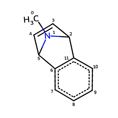 CN1C2C=CC1c1ccccc12